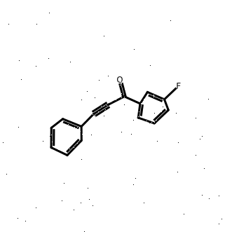 O=C(C#Cc1ccccc1)c1cccc(F)c1